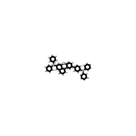 c1ccc(N(c2ccccc2)c2ccc(-c3ccc4c(c3)-c3cccc5cc(N(c6ccccc6)c6ccccc6)cc(c35)O4)cc2)cc1